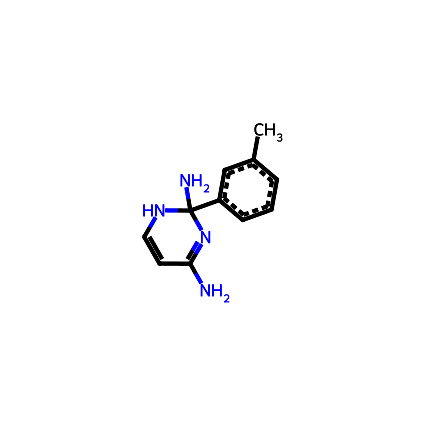 Cc1cccc(C2(N)N=C(N)C=CN2)c1